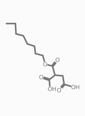 CCCCCCCCOC(=O)C(CC(=O)O)C(=O)O